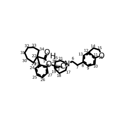 O=C(O[C@H]1C[N+]2(CCc3ccc4c(c3)CCO4)CCC1CC2)C1(c2ccccc2)CCCCCC1